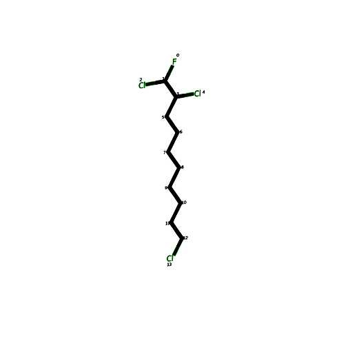 FC(Cl)C(Cl)CCCCCCCCCl